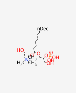 CCCCCCCCCCCCCCCCC(=O)OCC(CO)OP(=O)(O)O.C[N+](C)(C)CCO